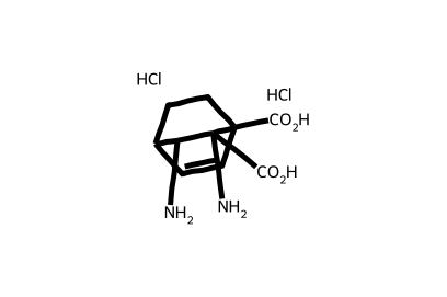 Cl.Cl.NC1C2C=CC(C(=O)O)(CC2)C1(N)C(=O)O